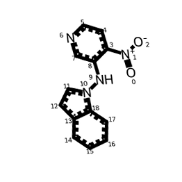 O=[N+]([O-])c1ccncc1Nn1ccc2ccccc21